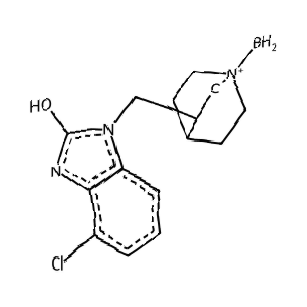 B[N+]12CCC(CC1)C(Cn1c(O)nc3c(Cl)cccc31)C2